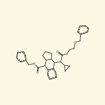 O=C(OCc1ccccc1)N1c2ccccc2C(N(C(=O)OCCOCc2ccccc2)C2CC2)C2CCCC21